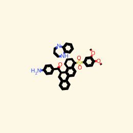 C1=CNc2ccccc2N=C1.COc1ccc(S(=O)(=O)C2=c3ccc4c(c3CCC2)C(C(=O)c2ccc(N)cc2)C=c2ccccc2=4)cc1OC